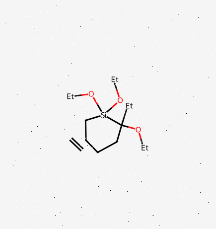 C=C.CCOC1(CC)CCCC[Si]1(OCC)OCC